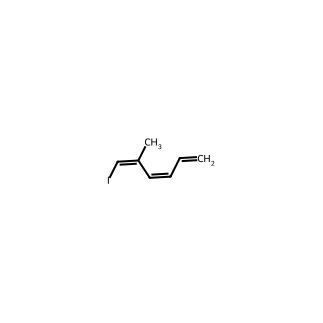 C=C/C=C\C(C)=C/I